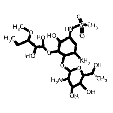 CCC(OC)C(O)C(O)OC1C(O)C(NS(C)(=O)=O)CC(N)C1OC1OC([C@@H](C)O)C(O)C(O)C1N